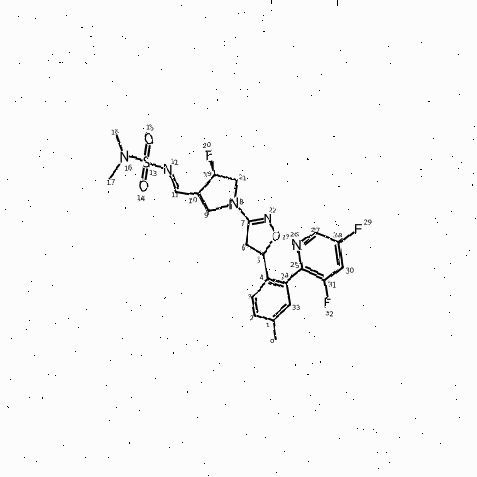 Cc1ccc(C2CC(N3CC(/C=N/S(=O)(=O)N(C)C)[C@@H](F)C3)=NO2)c(-c2ncc(F)cc2F)c1